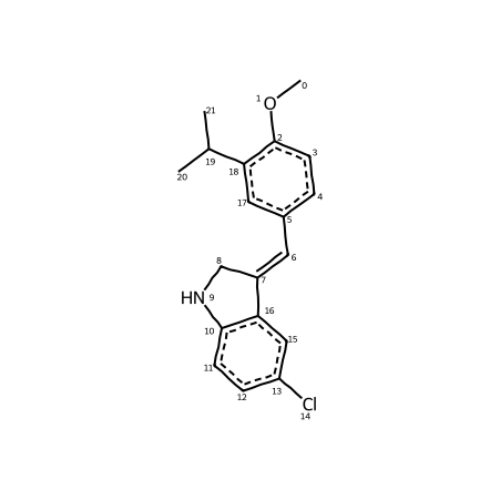 COc1ccc(C=C2CNc3ccc(Cl)cc32)cc1C(C)C